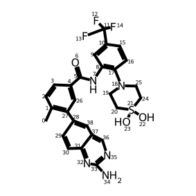 Cc1ccc(C(=O)Nc2cc(C(F)(F)F)ccc2N2CCS(O)(O)CC2)cc1-c1ccc2nc(N)ncc2c1